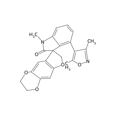 Cc1noc(C)c1-c1cccc2c1C1(COc3cc4c(cc31)OCCO4)C(=O)N2C